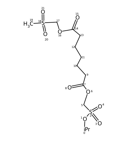 CC(C)OS(=O)(=O)COC(=O)CCCCCC(=O)OCS(C)(=O)=O